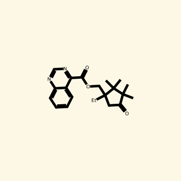 CCC1(COC(=O)c2ncnc3ccccc23)CC(=O)C(C)(C)C1(C)C